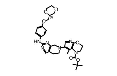 Cc1c(N2CCc3cnc(Nc4ccc(OC[C@@H]5COCCO5)cc4)nc3C2)cnc2c1N(C(=O)OC(C)(C)C)CCO2